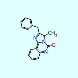 CC1C(Cc2ccccc2)=Nc2c3ccccc3nc(=O)n21